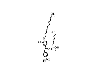 CCCCCCCC(C)O.CCCCCCCCCCCCOc1ccc(C(=O)Oc2ccc(C(=O)O)cc2)cc1Cl